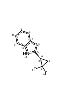 FC1(F)C[C@@H]1c1nc2ccccc2[nH]1